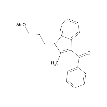 COCCCn1c(C)c(C(=O)c2ccccc2)c2ccccc21